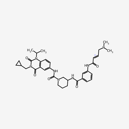 CC(C)n1c(=O)n(CC2CC2)c(=O)c2cc(NC(=O)N3CCCC(NC(=O)c4cccc(NC(=O)/C=C/CN(C)C)c4)C3)ccc21